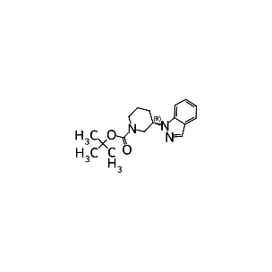 CC(C)(C)OC(=O)N1CCC[C@@H](n2ncc3ccccc32)C1